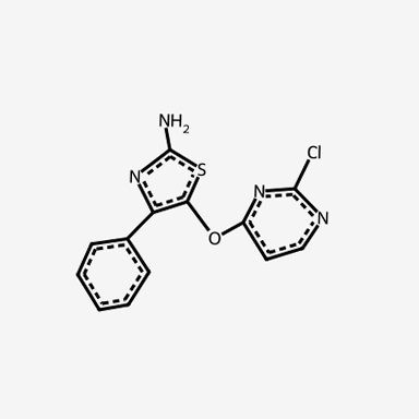 Nc1nc(-c2ccccc2)c(Oc2ccnc(Cl)n2)s1